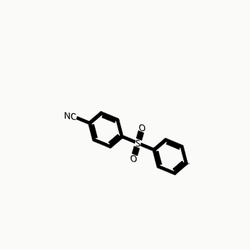 N#Cc1ccc(S(=O)(=O)c2cc[c]cc2)cc1